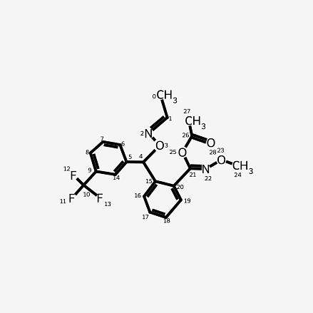 C/C=N/OC(c1cccc(C(F)(F)F)c1)c1ccccc1C(=NOC)OC(C)=O